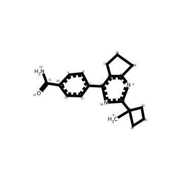 CC1(c2nc3c(c(-c4ccc(C(N)=O)cc4)n2)CCC3)CCC1